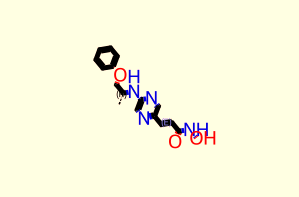 C[C@H](COc1ccccc1)Nc1cnc(/C=C/C(=O)NO)cn1